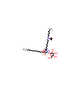 CCCCCCCCCCCCCC[C@@H](O)[C@@H](O)[C@H](COC1OC(CO)C(O)C(O)C1O)NC1(CCCCCCCCN(CCCCCCC)C23CC(C2)C3)COC1